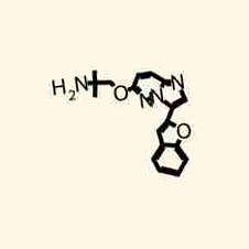 CC(C)(N)COc1ccc2ncc(-c3cc4ccccc4o3)n2n1